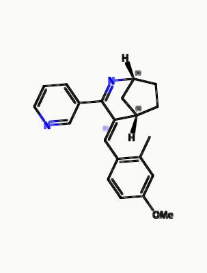 COc1ccc(/C=C2/C(c3cccnc3)=N[C@@H]3CC[C@H]2C3)c(C)c1